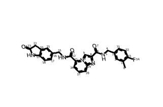 Cc1cc(CNC(=O)c2cn3c(C(=O)NCc4ccc5c(c4)CC(=O)N5)cccc3n2)ccc1F